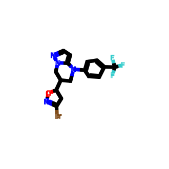 FC(F)(F)c1ccc(N2CC(C3CC(Br)=NO3)Cn3nccc32)cc1